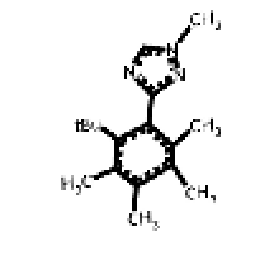 Cc1c(C)c(C)c(C(C)(C)C)c(-c2ncn(C)n2)c1C